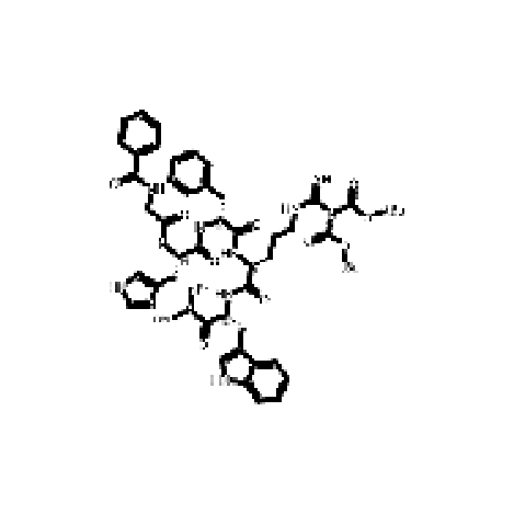 CCCN(CCC)C(=O)[C@@H](Cc1c[nH]c2ccccc12)NC(=O)[C@H](CCCNC(=N)N(C(=O)OC(C)(C)C)C(=O)OC(C)(C)C)NC(=O)[C@@H](Cc1ccccc1)NC(=O)[C@H](Cc1c[nH]cn1)NC(=O)CNC(=O)c1ccccc1